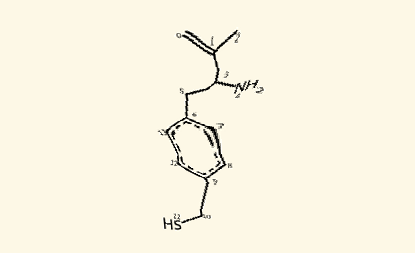 C=C(C)C(N)Cc1ccc(CS)cc1